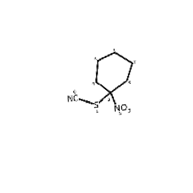 N#CSC1([N+](=O)[O-])CCCCC1